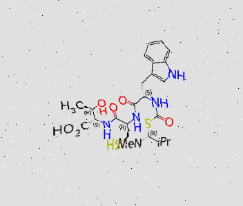 CN[C@H](SC(=O)N[C@@H](Cc1c[nH]c2ccccc12)C(=O)N[C@@H](CS)C(=O)N[C@H](C(=O)O)[C@@H](C)O)C(C)C